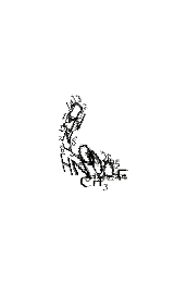 CC(NC(=O)C1CCN(c2nc3ccccc3s2)C1)c1cc2cc(F)ccc2o1